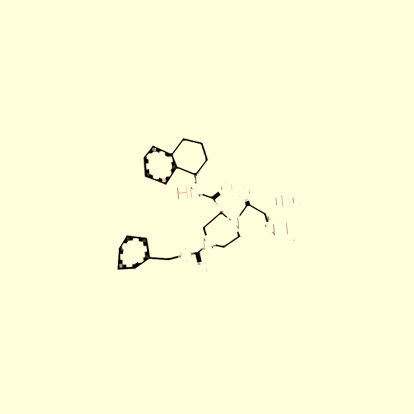 CC(C)(C)[C@H](N)C(=O)N1CCN(C(=O)OCc2ccccc2)C[C@H]1C(=O)N[C@@H]1CCCc2ccccc21